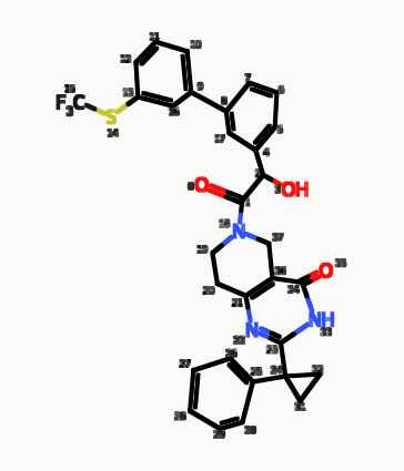 O=C(C(O)c1cccc(-c2cccc(SC(F)(F)F)c2)c1)N1CCc2nc(C3(c4ccccc4)CC3)[nH]c(=O)c2C1